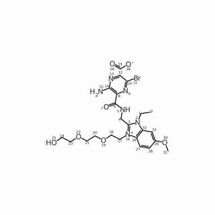 CCn1c(CNC(=O)c2nc(Br)cnc2N)[n+](CCOCCOCCO)c2ccc(OC)cc21.O=C[O-]